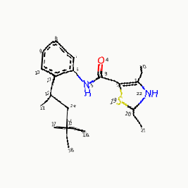 CC1=C(C(=O)Nc2ccccc2C(C)CC(C)(C)C)SC(C)N1